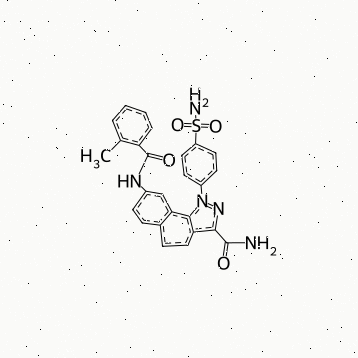 Cc1ccccc1C(=O)Nc1ccc2ccc3c(C(N)=O)nn(-c4ccc(S(N)(=O)=O)cc4)c3c2c1